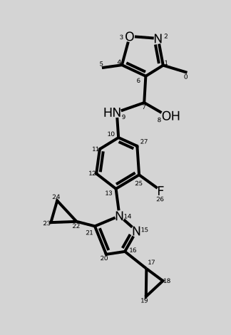 Cc1noc(C)c1C(O)Nc1ccc(-n2nc(C3CC3)cc2C2CC2)c(F)c1